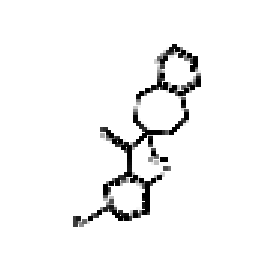 O=C(c1cc(Br)ccc1F)C1(O)CCc2ccccc2CC1